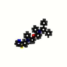 c1ccc(-c2cc(-c3ccccc3)cc(-n3c4ccccc4c4c(Oc5cccc6c5c5ccccc5n6-c5ccc6sc7cccnc7c6c5)cccc43)c2)cc1